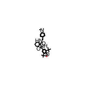 COc1c(C(C)(C)C)cc(C(=O)NC2(C(=O)NCc3ccc(N(C)C)cc3)CCCCC2)cc1C(C)(C)C